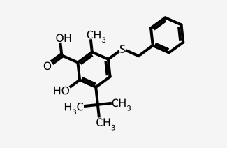 Cc1c(SCc2ccccc2)cc(C(C)(C)C)c(O)c1C(=O)O